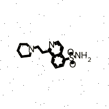 NS(=O)(=O)c1cccc2c(CCN3CCCCC3)nccc12